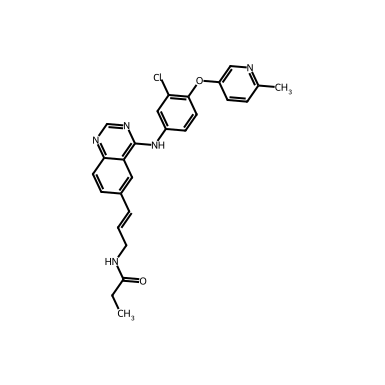 CCC(=O)NCC=Cc1ccc2ncnc(Nc3ccc(Oc4ccc(C)nc4)c(Cl)c3)c2c1